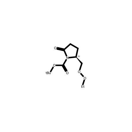 CCOOC[C@@H]1CCC(=O)N1C(=O)OC(C)(C)C